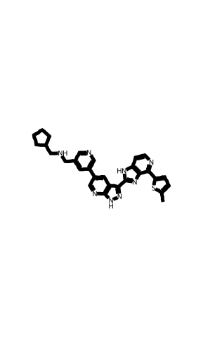 Cc1ccc(-c2nccc3[nH]c(-c4n[nH]c5ncc(-c6cncc(CNCC7CCCC7)c6)cc45)nc23)s1